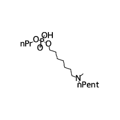 CCCCCN(C)CCCCCCCOP(=O)(O)OCCC